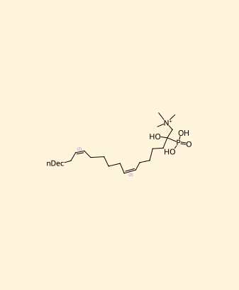 CCCCCCCCCCC/C=C\CCCC/C=C\CCCCC(O)(C[N+](C)(C)C)P(=O)(O)O